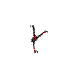 CC(C)CCCCCCCCCCCCCOC(=O)c1ccc(C(=O)OCCCCCCCCCCCCCC(C)C)c(C(=O)OCCCCCCCCCCCCCC(C)C)c1